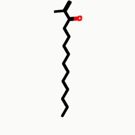 C=C(C)C(=O)CCCCCCCCCCC